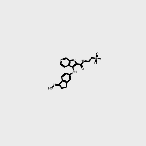 CS(=O)(=O)CCNC(=O)c1oc2cnccc2c1Nc1ccc2c(c1)CCC2=NO